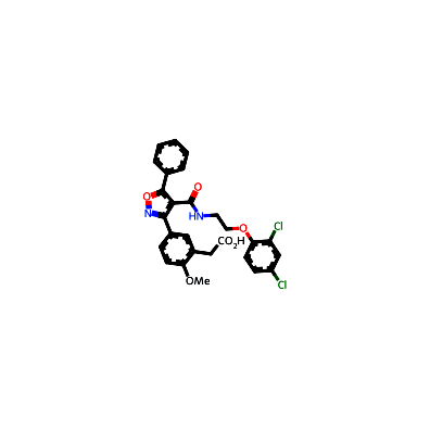 COc1ccc(-c2noc(-c3ccccc3)c2C(=O)NCCOc2ccc(Cl)cc2Cl)cc1CC(=O)O